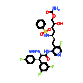 [N-]=[N+]=N[C@H](C(=O)Nc1cncc(F)c1CC[C@@H](CC[C@H](O)COC(N)=O)NS(=O)(=O)c1ccccc1)[C@@H](c1ccc(F)cc1)c1cc(F)cc(F)c1